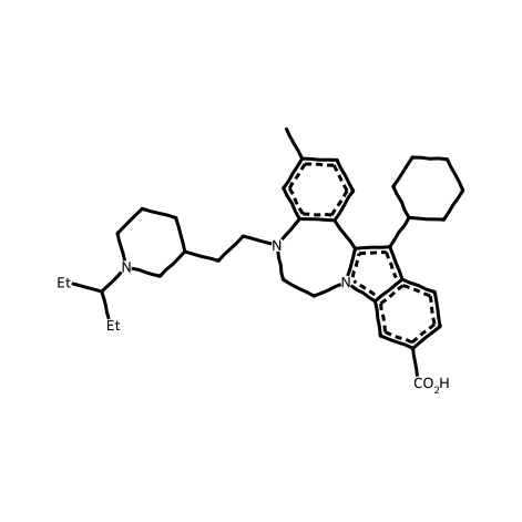 CCC(CC)N1CCCC(CCN2CCn3c(c(C4CCCCC4)c4ccc(C(=O)O)cc43)-c3ccc(C)cc32)C1